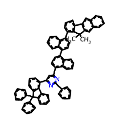 CC1(C)c2cc3ccccc3cc2-c2cccc(-c3ccc(-c4ccc(-c5cc(-c6cccc7c6-c6ccccc6C7(c6ccccc6)c6ccccc6)nc(-c6ccccc6)n5)c5ccccc45)c4ccccc34)c21